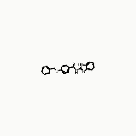 O=C(Nc1nc2ccccc2[nH]1)c1ccc(OCc2ccccc2)cc1